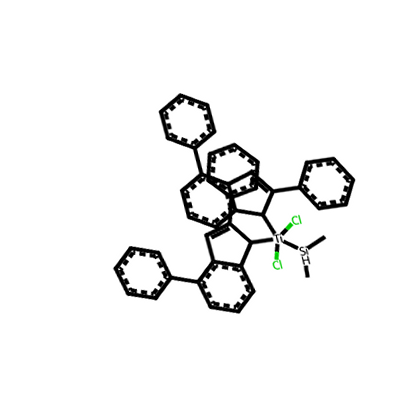 C[SiH](C)[Ti]([Cl])([Cl])([CH]1C(c2ccccc2)=Cc2c(-c3ccccc3)cccc21)[CH]1C(c2ccccc2)=Cc2c(-c3ccccc3)cccc21